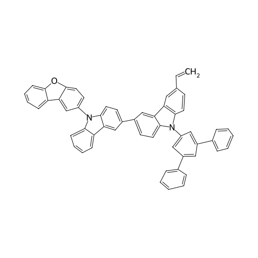 C=Cc1ccc2c(c1)c1cc(-c3ccc4c(c3)c3ccccc3n4-c3ccc4oc5ccccc5c4c3)ccc1n2-c1cc(-c2ccccc2)cc(-c2ccccc2)c1